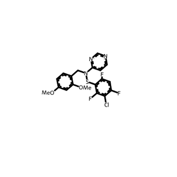 COc1ccc(CN(Sc2c(F)cc(F)c(Cl)c2F)c2ccncn2)c(OC)c1